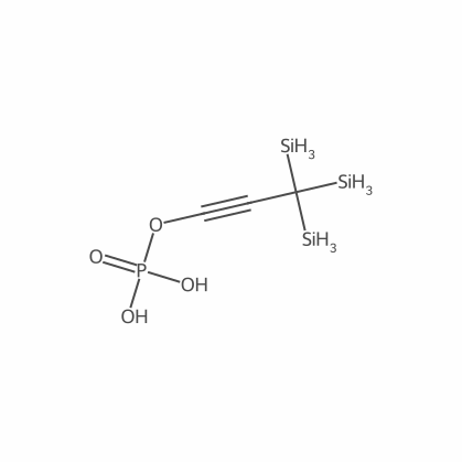 O=P(O)(O)OC#CC([SiH3])([SiH3])[SiH3]